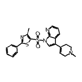 Cc1nc(-c2ccccc2)sc1S(=O)(=O)n1cc(C2=CCN(C)CC2)c2cccnc21